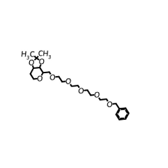 CC1(C)OC2CCOC(COCCOCCOCCOCCOCc3ccccc3)C2O1